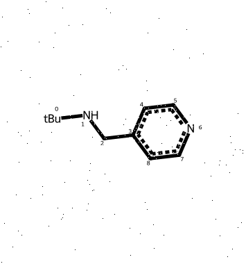 CC(C)(C)NCc1ccncc1